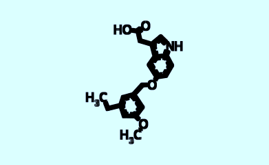 CCc1cc(COc2ccc3[nH]cc(CC(=O)O)c3c2)cc(OC)c1